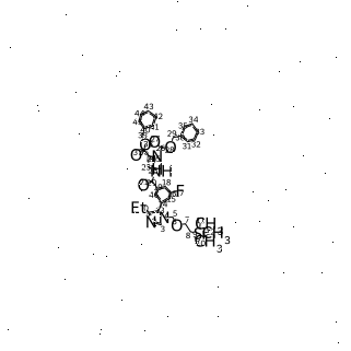 CCc1ncn(COCC[Si](C)(C)C)c1-c1cc(F)cc(C(=O)NC[C@@H](NC(=O)OCc2ccccc2)C(=O)OCc2ccccc2)c1